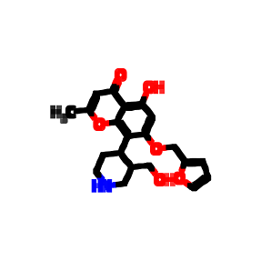 Cc1cc(=O)c2c(O)cc(OCc3ccco3)c(C3CCNCC3CO)c2o1